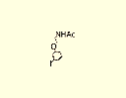 CC(=O)NCCOc1cccc(I)c1